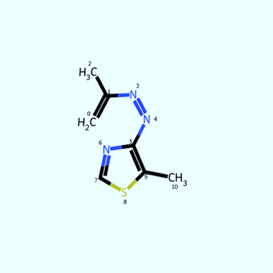 C=C(C)/N=N\c1ncsc1C